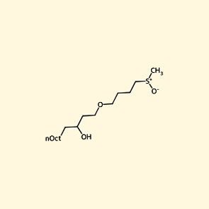 CCCCCCCCCC(O)CCOCCCC[S+](C)[O-]